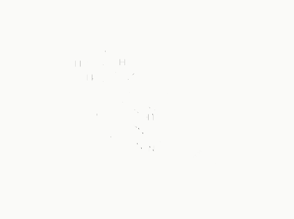 CC1=C[C@]23C(=O)[C@@H](C=C(CO)[C@@H](O)[C@]2(O)[C@H]1n1cc(CCc2ccccc2)nn1)[C@H]1[C@@H](C[C@H]3C)C1(C)C